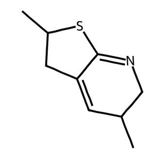 CC1C=C2CC(C)SC2=NC1